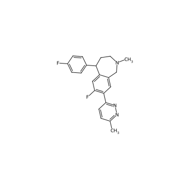 Cc1ccc(-c2cc3c(cc2F)C(c2ccc(F)cc2)CCN(C)C3)nn1